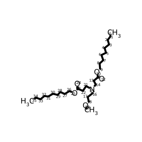 CCCCCCCCCCOC(=O)CCN(CCCOC)CCC(=O)OCCCCCCCCCC